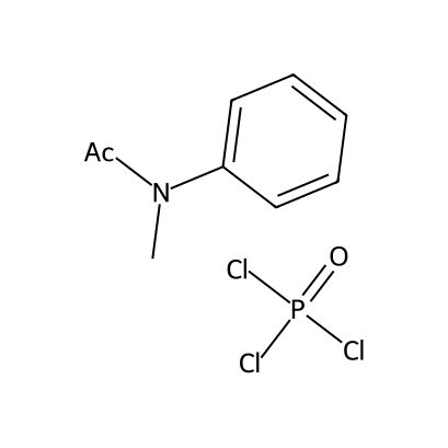 CC(=O)N(C)c1ccccc1.O=P(Cl)(Cl)Cl